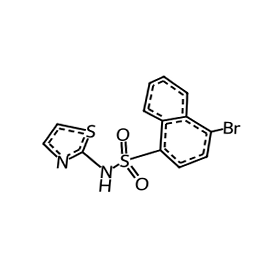 O=S(=O)(Nc1nccs1)c1ccc(Br)c2ccccc12